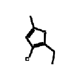 CCc1sc(C)cc1Cl